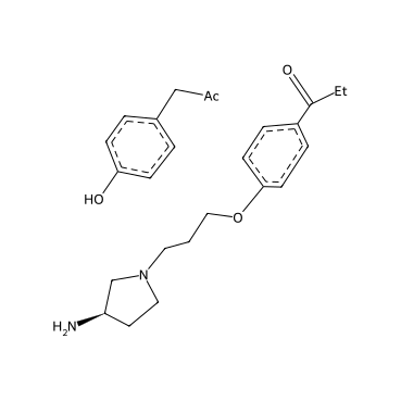 CC(=O)Cc1ccc(O)cc1.CCC(=O)c1ccc(OCCCN2CC[C@@H](N)C2)cc1